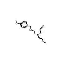 CC/C=C/[C@H](CCOCc1ccc(OC)cc1)[C@@H](C)C=O